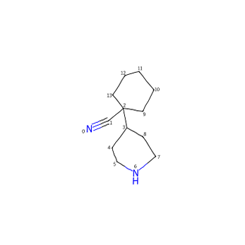 N#CC1(C2CCNCC2)CCCCC1